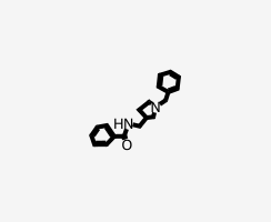 O=C(NCC1CCN(Cc2ccccc2)C1)c1ccccc1